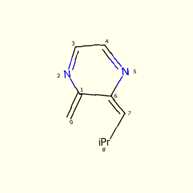 C=c1nccn/c1=C/C(C)C